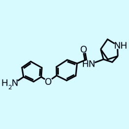 Nc1cccc(Oc2ccc(C(=O)NC3CC4CC3CN4)cc2)c1